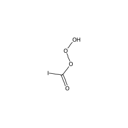 O=C(I)OOO